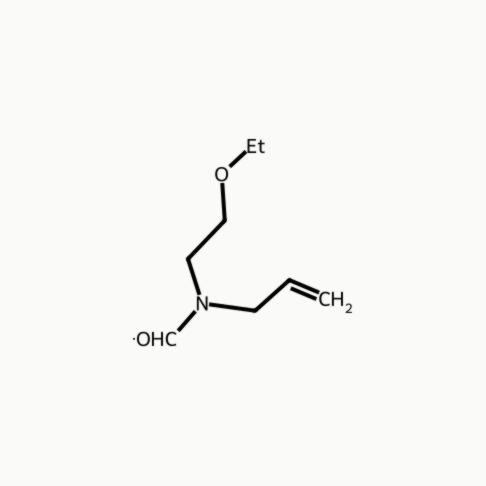 C=CCN([C]=O)CCOCC